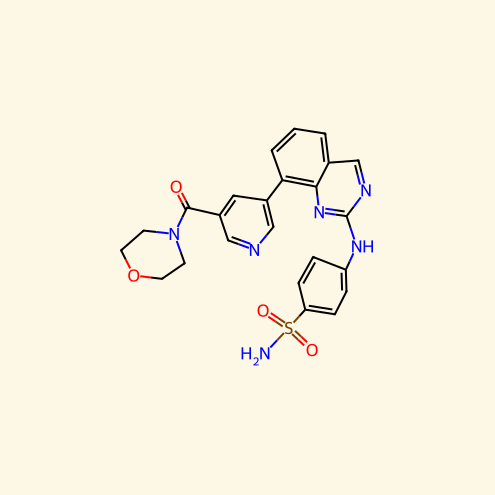 NS(=O)(=O)c1ccc(Nc2ncc3cccc(-c4cncc(C(=O)N5CCOCC5)c4)c3n2)cc1